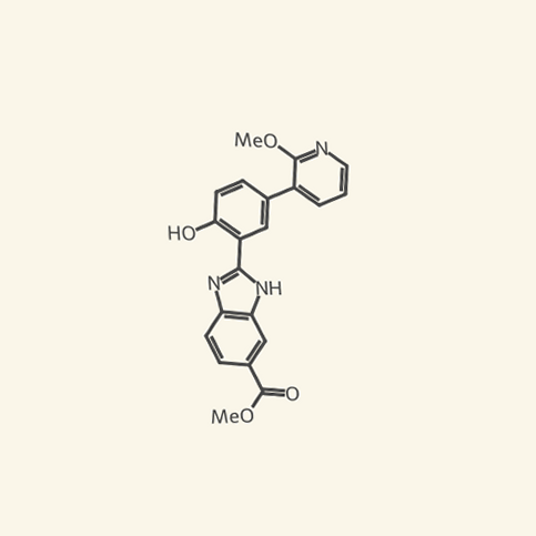 COC(=O)c1ccc2nc(-c3cc(-c4cccnc4OC)ccc3O)[nH]c2c1